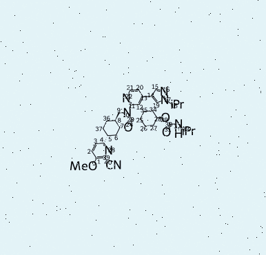 COc1ccc([C@H]2CC[C@H](CN(c3cc(-c4cnn(C(C)C)c4)ccn3)C(=O)[C@H]3CC[C@H](OC(=O)NC(C)C)CC3)CC2)nc1C#N